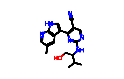 Cc1cnc2[nH]cc(-c3nc(NC(CO)C(C)C)ncc3C#N)c2c1